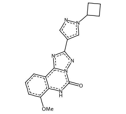 COc1cccc2c1[nH]c(=O)n1nc(-c3cnn(C4CCC4)c3)nc21